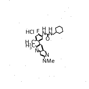 CNc1cc2nc(C)c(-c3cc(NC(=O)NCC4CCCCC4)c(F)cc3C)cc2cn1.Cl